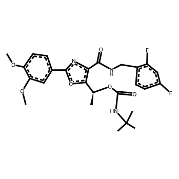 COc1ccc(-c2nc(C(=O)NCc3ccc(F)cc3F)c([C@H](C)OC(=O)NC(C)(C)C)o2)cc1OC